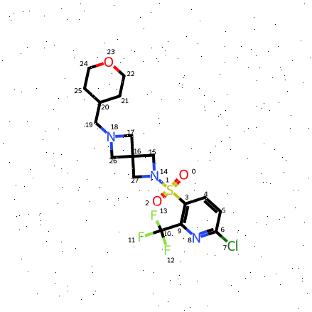 O=S(=O)(c1ccc(Cl)nc1C(F)(F)F)N1CC2(CN(CC3CCOCC3)C2)C1